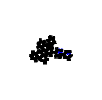 c1ccc(-c2c3ccccc3c(-c3cc4ccccc4c4ccccc34)c3ccc(-c4ccc(-c5cccnc5)nc4)cc23)cc1